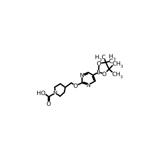 CC1(C)OB(c2cnc(OCC3CCN(C(=O)O)CC3)nc2)OC1(C)C